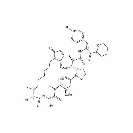 C=C([C@H](Cc1ccc(O)cc1)NC(=O)[C@H](C)[C@@H](OC)[C@@H]1CCCN1C(=O)C[C@@H](OC)[C@H]([C@@H](C)CC)N(C)C(=O)[C@@H](NC(=O)[C@H](C(C)C)N(C)CCCCCCN1C(=O)C=CC1=O)C(C)C)N1CCCCO1